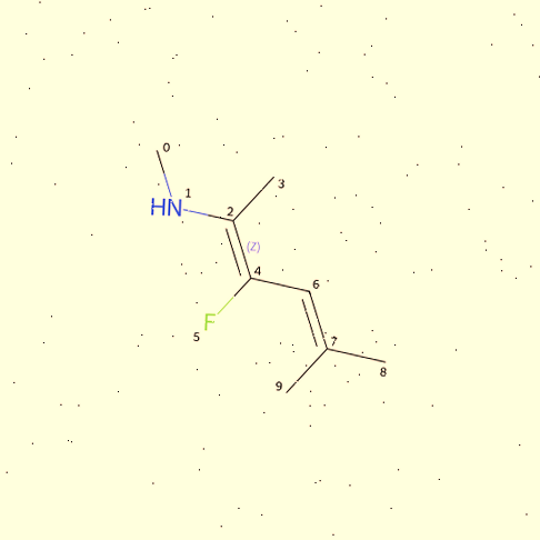 CN/C(C)=C(\F)C=C(C)C